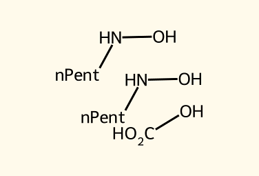 CCCCCNO.CCCCCNO.O=C(O)O